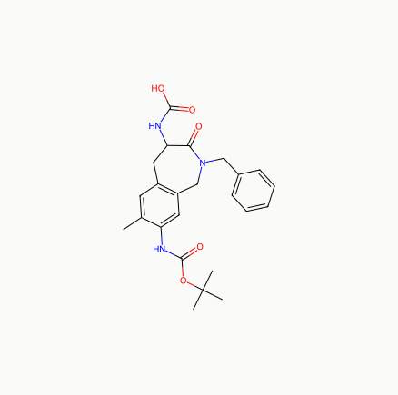 Cc1cc2c(cc1NC(=O)OC(C)(C)C)CN(Cc1ccccc1)C(=O)C(NC(=O)O)C2